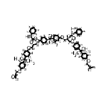 CC(C)(c1ccc(OCC2CO2)cc1)c1ccc(OCC(COc2ccc(C(C)(C)c3ccc(OCC(COc4ccc(C(C)(C)c5ccc(OCC6CO6)cc5)cc4)OC(=O)Nc4ccccc4)cc3)cc2)OC(=O)Nc2ccccc2)cc1